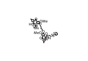 C=C1CC2C(O)N(C(=O)OC(C)(C)C)c3cc(OCCCCCOc4cc5c(cc4OC)C(=O)N4CC(=C)C[C@H]4[C@H](O)N5C(=O)OCCSSc4ccccn4)c(OC)cc3C(=O)N2C1